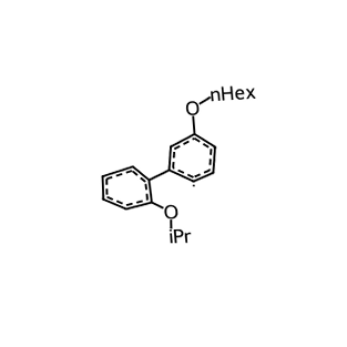 CCCCCCOc1cc[c]c(-c2ccccc2OC(C)C)c1